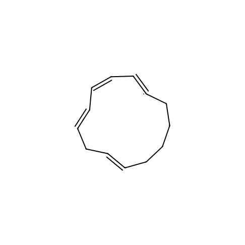 [C]1=C/C=C\C=C\C/C=C/CCCC/1